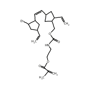 C=CC1CC(/C=C\C2CC(C=C)C(COC(=O)NCCOC(=O)C(=C)C)C2)C(CC)C1